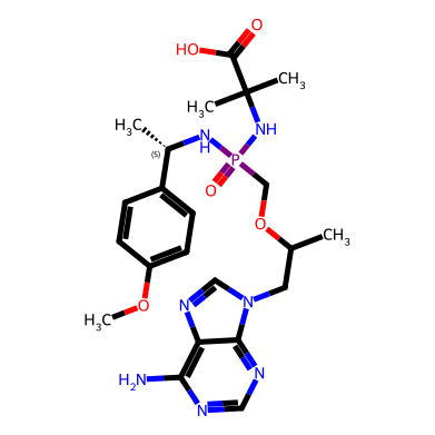 COc1ccc([C@H](C)NP(=O)(COC(C)Cn2cnc3c(N)ncnc32)NC(C)(C)C(=O)O)cc1